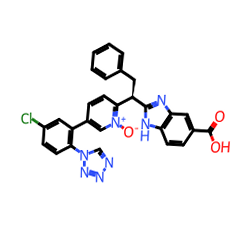 O=C(O)c1ccc2[nH]c([C@H](Cc3ccccc3)c3ccc(-c4cc(Cl)ccc4-n4cnnn4)c[n+]3[O-])nc2c1